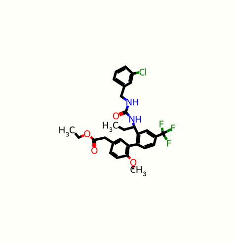 CCOC(=O)Cc1ccc(OC)c(-c2ccc(C(F)(F)F)cc2C(CC)NC(=O)NCc2cccc(Cl)c2)c1